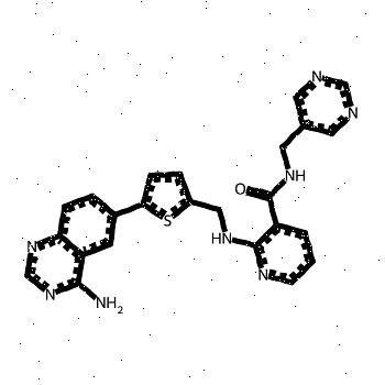 Nc1ncnc2ccc(-c3ccc(CNc4ncccc4C(=O)NCc4cncnc4)s3)cc12